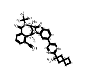 [2H]C([2H])([2H])N1C(=O)c2cccc(C#C)c2[C@H]2C[C@@H]1c1nc3ccc(-c4cnc(C5(N)CC6(CCC6)C5)nc4)cc3n12